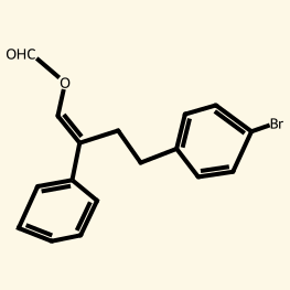 O=CO/C=C(\CCc1ccc(Br)cc1)c1ccccc1